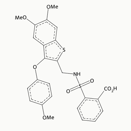 COc1ccc(Oc2c(CNS(=O)(=O)c3ccccc3C(=O)O)sc3cc(OC)c(OC)cc23)cc1